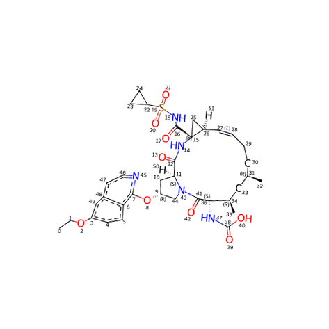 CCOc1ccc2c(O[C@@H]3C[C@H]4C(=O)N[C@]5(C(=O)NS(=O)(=O)C6CC6)C[C@H]5/C=C\CC[C@@H](C)C[C@@H](C)[C@H](NC(=O)O)C(=O)N4C3)nccc2c1